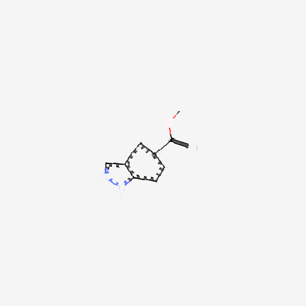 C=C(OCC)c1ccc2[nH]ncc2c1